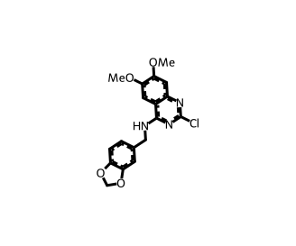 COc1cc2nc(Cl)nc(NCc3ccc4c(c3)OCO4)c2cc1OC